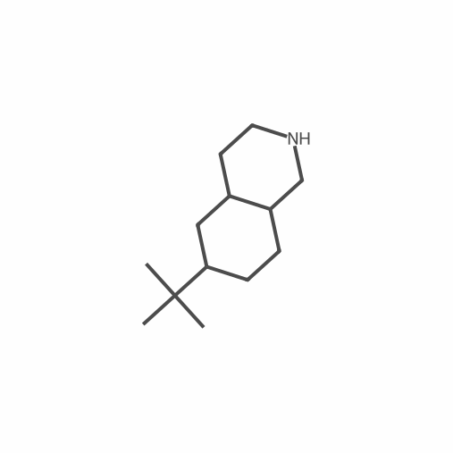 CC(C)(C)C1CCC2CNCCC2C1